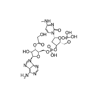 CNc1ccn([C@H]2C[C@H](OP(=O)(O)OC[C@H]3O[C@@H](n4cnc5c(N)ncnc54)C(O)[C@@H]3OC(=O)CO)[C@@H](COP(=O)(O)O)O2)c(=O)n1